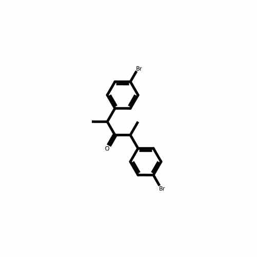 CC(C(=O)C(C)c1ccc(Br)cc1)c1ccc(Br)cc1